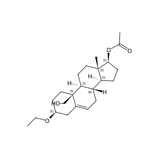 CCO[C@H]1CC[C@@]2(CO)C(=CC[C@@H]3[C@@H]2CC[C@]2(C)[C@@H](OC(C)=O)CC[C@@H]32)C1